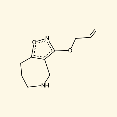 C=CCOc1noc2c1CNCCC2